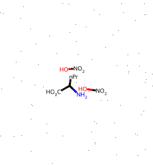 CCCC(N)C(=O)O.O=[N+]([O-])O.O=[N+]([O-])O